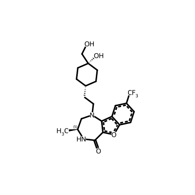 C[C@H]1CN(CC[C@H]2CC[C@](O)(CO)CC2)c2c(oc3ccc(C(F)(F)F)cc23)C(=O)N1